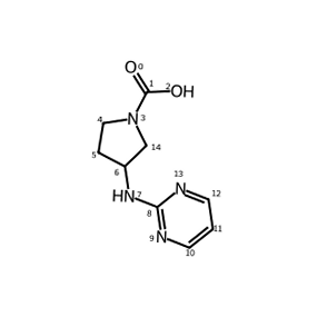 O=C(O)N1CCC(Nc2ncccn2)C1